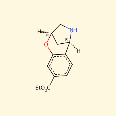 CCOC(=O)c1ccc2c(c1)O[C@H]1CN[C@@H]2C1